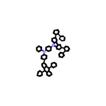 C1=CCCC(c2ccccc2-c2ccc3c(c2)c2cc(-c4ccccc4-c4ccccc4)ccc2n3-c2ccc(N(c3ccccc3)c3ccc(-c4ccc5c(-c6ccccc6)c6ccccc6c(-c6ccccc6)c5c4)cc3)cc2)=C1